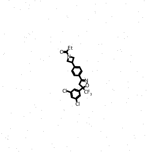 CCC(=O)N1CC(c2ccc(C3=NOC(c4cc(Cl)cc(Cl)c4)(C(F)(F)F)C3)cc2)C1